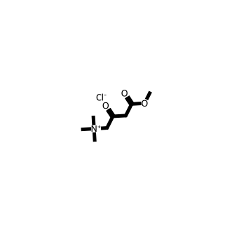 COC(=O)CC(=O)C[N+](C)(C)C.[Cl-]